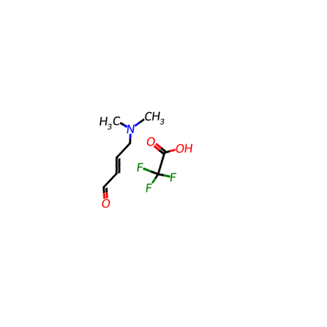 CN(C)CC=CC=O.O=C(O)C(F)(F)F